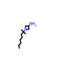 CCCCCCC(C)(C)N1CC(N)C1